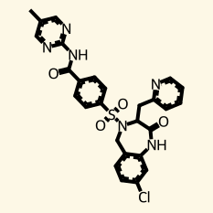 Cc1cnc(NC(=O)c2ccc(S(=O)(=O)N3Cc4ccc(Cl)cc4NC(=O)C3Cc3ccccn3)cc2)nc1